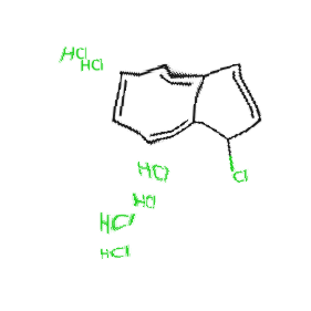 Cl.Cl.Cl.Cl.Cl.Cl.ClC1C=Cc2ccccc21